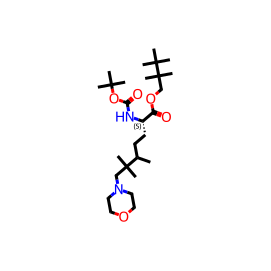 CC(CC[C@H](NC(=O)OC(C)(C)C)C(=O)OCC(C)(C)C(C)(C)C)C(C)(C)CN1CCOCC1